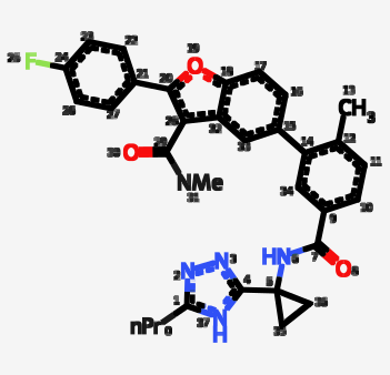 CCCc1nnc(C2(NC(=O)c3ccc(C)c(-c4ccc5oc(-c6ccc(F)cc6)c(C(=O)NC)c5c4)c3)CC2)[nH]1